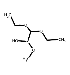 CCOC(OCC)P(O)OC